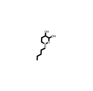 CCCCC[SiH]1CCC(O)C(O)O1